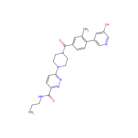 CCCNC(=O)c1ccc(N2CCN(C(=O)c3ccc(-c4cncc(O)c4)c(C)c3)CC2)nn1